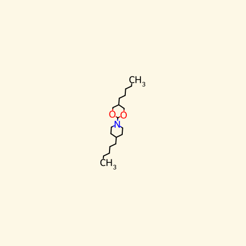 CCCCCC1CCN(C2OCC(CCCCC)CO2)CC1